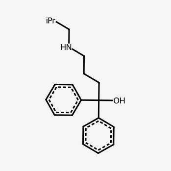 CC(C)CNCCCC(O)(c1ccccc1)c1ccccc1